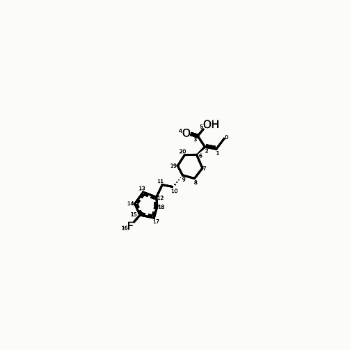 CC=C(C(=O)O)[C@H]1CC[C@H](CCc2ccc(F)cc2)CC1